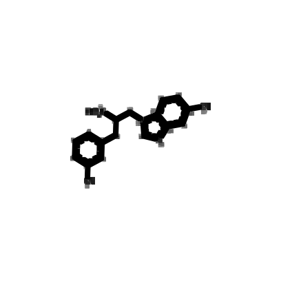 CCOC(=O)C(Cc1cccc(C#N)c1)Cn1cnc2cc(C#N)ccc21